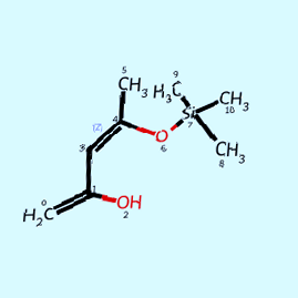 C=C(O)/C=C(/C)O[Si](C)(C)C